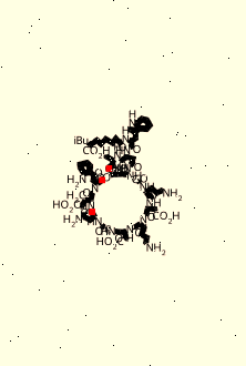 CCC(C)CCCCCCC(=O)NC(Cc1c[nH]c2ccccc12)C(=O)NC(CC(N)=O)C(=O)NC(CC(=O)O)C(=O)NC1C(=O)NCC(=O)NC(CCCN)C(=O)NC(CC(=O)O)C(=O)NC(CCCCN)C(=O)NC(CC(=O)O)C(=O)NCC(=O)NC(CC(N)=O)C(=O)NC(C(C)CC(=O)O)C(=O)NC(CC(=O)c2ccccc2N)C(=O)OC1C